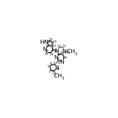 Cc1cccc(-c2ncc3c(n2)N(c2ccnc4[nH]ccc24)CCN3C)n1